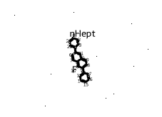 CCCCCCCc1ccc(-c2ccc3c(F)c(-c4ccccc4)ccc3c2)cc1